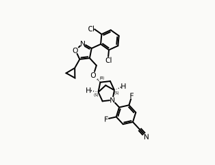 N#Cc1cc(F)c(N2C[C@@H]3C[C@H]2C[C@H]3OCc2c(-c3c(Cl)cccc3Cl)noc2C2CC2)c(F)c1